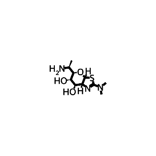 C[C@H](N)[C@@H]1O[C@@H]2SC(N(C)C)=N[C@@H]2[C@@H](O)[C@@H]1O